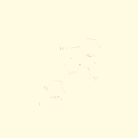 COC(=O)C1(c2cccc(F)c2C)C=C(c2cnc(C)nc2)CC1